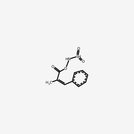 CC(=Cc1ccccc1)C(=O)ON[SH](=O)=O